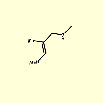 CBC/C(=C/NC)C(C)CC